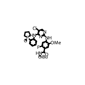 COc1cc(C(=O)NOCC(C)C)c(F)cc1Nc1ncc(Cl)c(Nc2ccccc2P2(=O)CCCC2)n1